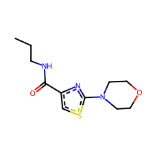 CCCNC(=O)c1csc(N2CCOCC2)n1